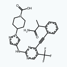 CC(C(N)=O)c1ccccc1C#Cc1nc(Nc2cnn(C3CCN(C(=O)O)CC3)c2)ncc1C(F)(F)F